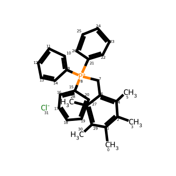 Cc1c(C)c(C)c(C[P+](c2ccccc2)(c2ccccc2)c2ccccc2)c(C)c1C.[Cl-]